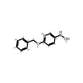 OBc1ccc(OCc2ccccc2)nc1